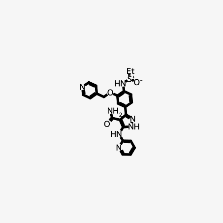 CC[S+]([O-])Nc1ccc(-c2n[nH]c(Nc3ccccn3)c2C(N)=O)cc1OCc1ccncc1